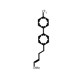 COC=CCCc1ccc(-c2ccc(C(F)(F)F)cc2)cc1